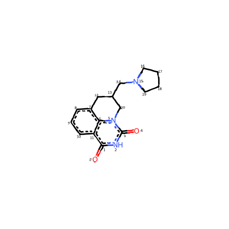 O=c1[nH]c(=O)n2c3c(cccc13)CC(CN1CCCC1)C2